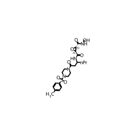 CCCC(CC(=O)N1CCN(S(=O)(=O)c2ccc(C)cc2)CC1)NC(=O)[C@H]1O[C@@H]1C(=O)NO